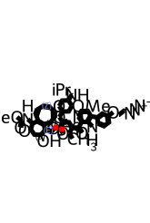 COC(=O)NC1C(=O)C[C@H](O)/C(=C/CSC(C)=O)C2=C1C#C/C=C\C#C[C@@H]2OC1OC(C)C(C(=O)c2nccc3c2[nH]c2ccc(OCCN=[N+]=[N-])cc23)CC1OC1CC(OC)C(NC(C)C)CO1